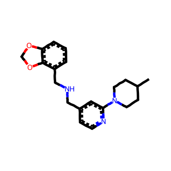 CC1CCN(c2cc(CNCc3cccc4c3OCO4)ccn2)CC1